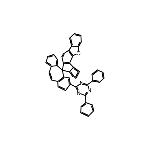 C1=Cc2ccc(-c3nc(-c4ccccc4)nc(-c4ccccc4)n3)cc2C2(c3ccccc31)c1ccccc1-c1c2ccc2c1oc1ccccc12